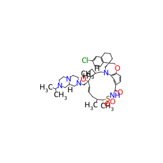 CO[C@@]1(CN2CCN3CCN(C(C)C)C[C@@H]3C2)/C=C/C[C@H](C)[C@@H](C)S(=O)(=O)NC(=O)c2ccc3c(c2)N(C[C@@H]2CC[C@H]21)C[C@@]1(CCCc2cc(Cl)ccc21)CO3